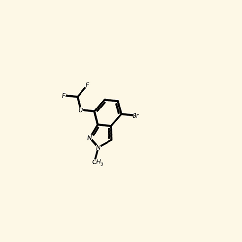 Cn1cc2c(Br)ccc(OC(F)F)c2n1